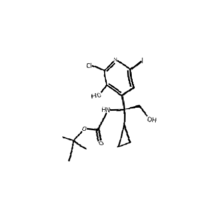 CC(C)(C)OC(=O)N[C@](CO)(c1cc(I)nc(Cl)c1O)C1CC1